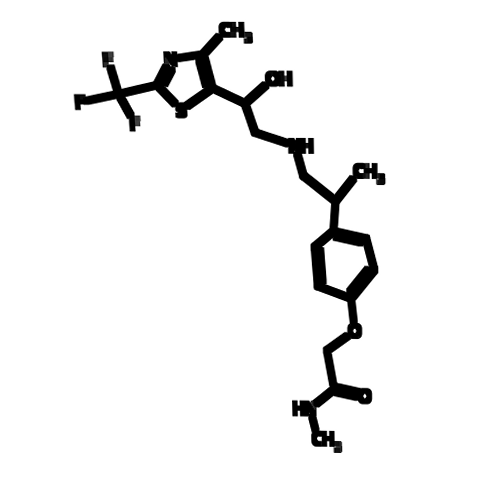 CNC(=O)COc1ccc(C(C)CNCC(O)c2sc(C(F)(F)F)nc2C)cc1